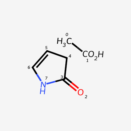 CC(=O)O.O=C1CC=CN1